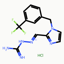 Cl.N=C(N)N/N=C/c1nccn1Cc1cccc(C(F)(F)F)c1